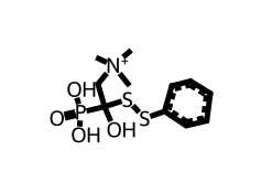 C[N+](C)(C)CC(O)(SSc1ccccc1)P(=O)(O)O